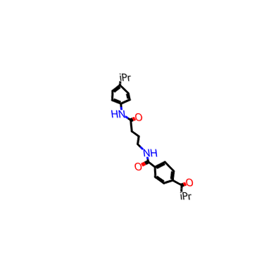 CC(C)C(=O)c1ccc(C(=O)NCCCC(=O)Nc2ccc(C(C)C)cc2)cc1